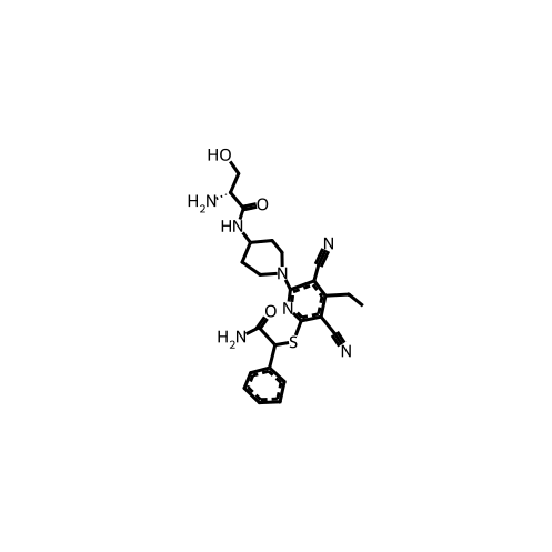 CCc1c(C#N)c(SC(C(N)=O)c2ccccc2)nc(N2CCC(NC(=O)[C@H](N)CO)CC2)c1C#N